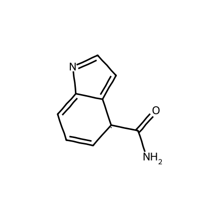 NC(=O)[C]1C=CC=C2N=CC=C12